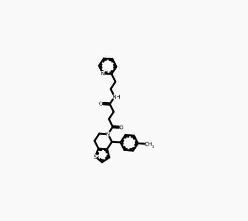 Cc1ccc(C2c3ccsc3CCN2C(=O)CCC(=O)NCCc2ccccn2)cc1